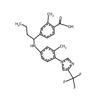 CCCC(Nc1ccc(-n2cnc(C(F)(F)F)c2)c(C)c1)c1ccc(C(=O)O)c(C)c1